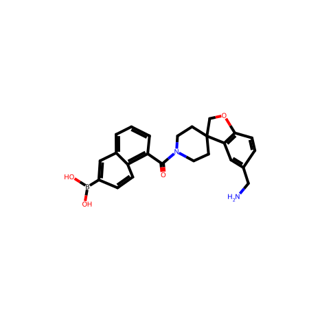 NCc1ccc2c(c1)C1(CCN(C(=O)c3cccc4cc(B(O)O)ccc34)CC1)CO2